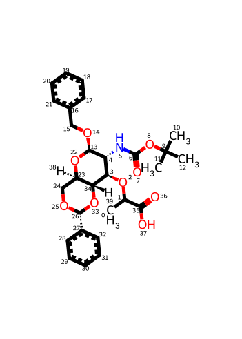 CC(O[C@@H]1[C@@H](NC(=O)OC(C)(C)C)[C@H](OCc2ccccc2)O[C@@H]2CO[C@@H](c3ccccc3)O[C@@H]12)C(=O)O